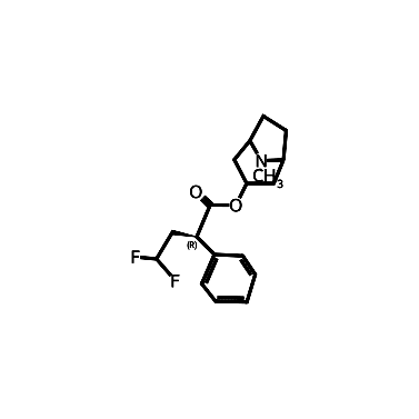 CN1C2CCC1CC(OC(=O)[C@H](CC(F)F)c1ccccc1)C2